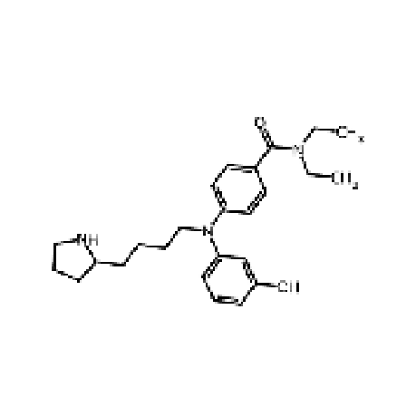 CCN(CC)C(=O)c1ccc(N(CCCCC2CCCN2)c2cccc(O)c2)cc1